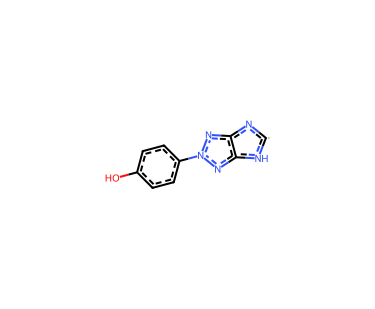 Oc1ccc(-n2nc3n[c][nH]c3n2)cc1